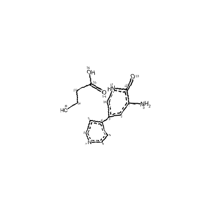 Nc1cc(-c2ccncc2)c[nH]c1=O.O=C(O)CCO